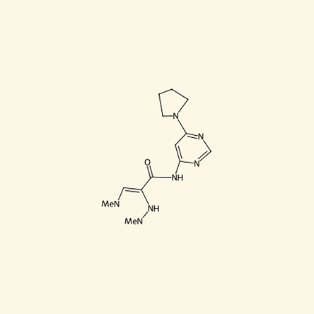 CN/C=C(\NNC)C(=O)Nc1cc(N2CCCC2)ncn1